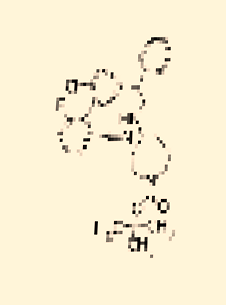 CC(C)(C)OC(=O)N1CCC[C@H](NCC(c2ccccc2)c2ccc(Cl)c(-c3c(F)cccc3C#N)c2)CC1